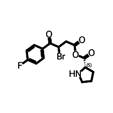 O=C(CC(Br)C(=O)c1ccc(F)cc1)OC(=O)[C@@H]1CCCN1